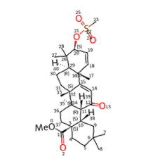 COC(=O)[C@]12CCC(C)(C)C[C@H]1[C@H]1C(=O)C=C3[C@@]4(C)C=C[C@H](OS(C)(=O)=O)C(C)(C)[C@@H]4CC[C@@]3(C)[C@]1(C)CC2